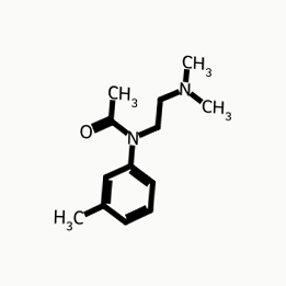 CC(=O)N(CCN(C)C)c1cccc(C)c1